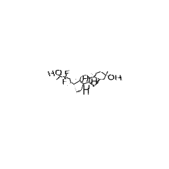 CC(O)C(F)(F)C[C@@H](C)[C@H]1CC[C@H]2[C@@H]3CC=C4C[C@@](C)(O)CC[C@]4(C)[C@H]3CC[C@]12C